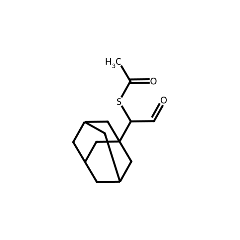 CC(=O)SC(C=O)C12CC3CC(CC(C3)C1)C2